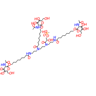 CC(=O)NC1[C@H](OCCCCCCCCC(=O)NCCCN(CCCN(CCCNC(=O)CCCCCCCCO[C@@H]2OC(CO)[C@H](O)[C@H](O)C2NC(C)=O)C(=O)C(O)COP(C)(=O)O)C(=O)CCCCCCCCO[C@@H]2OC(CO)[C@H](O)[C@H](O)C2NC(C)=O)OC(CO)[C@H](O)[C@@H]1O